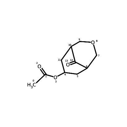 CC(=O)OC1CC2COCC(C1)C2=O